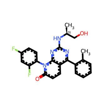 Cc1ccccc1-c1nc(N[C@@H](C)CO)nc2c1ccc(=O)n2-c1ccc(F)cc1F